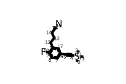 C[Si](C)(C)C#Cc1ccc(F)c(CCCC#N)c1